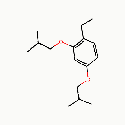 [CH2]Cc1ccc(OCC(C)C)cc1OCC(C)C